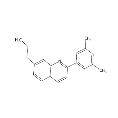 CCCC1=CC2N=C(c3cc(C)cc(C)c3)C=CC2C=C1